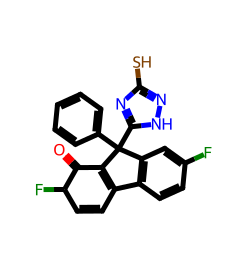 O=C1C2=C(C=CC1F)c1ccc(F)cc1C2(c1ccccc1)c1nc(S)n[nH]1